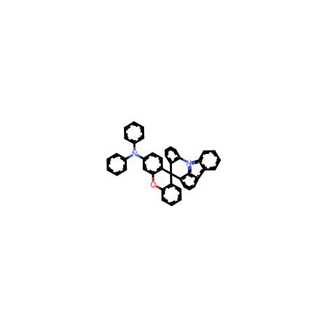 c1ccc(N(c2ccccc2)c2ccc3c(c2)Oc2ccccc2C32c3ccccc3-n3c4ccccc4c4cccc2c43)cc1